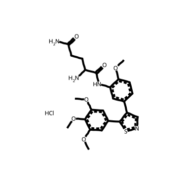 COc1ccc(-c2cnsc2-c2cc(OC)c(OC)c(OC)c2)cc1NC(=O)C(N)CCC(N)=O.Cl